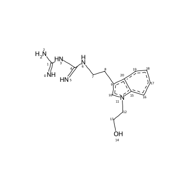 N=C(N)NC(=N)NCCc1cn(CCO)c2ccccc12